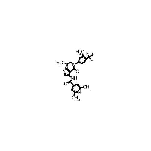 Cc1cc(C(=O)Nc2cnn3c2C(=O)N(c2ccc(C(F)(F)F)c(C)c2)C[C@@H]3C)cc(C)n1